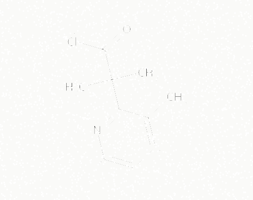 Cc1cccnc1C(C)(C)C(=O)Cl